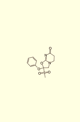 CS(=O)(=O)C1(Oc2ccccc2)CN2CCC(=O)N=C2O1